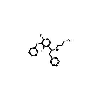 OCCCNC(Cc1ccncc1)c1ccc(F)c(Oc2ccccc2)c1F